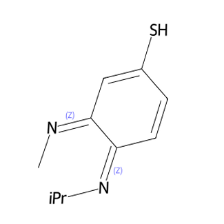 C/N=C1/C=C(S)C=C/C1=N/C(C)C